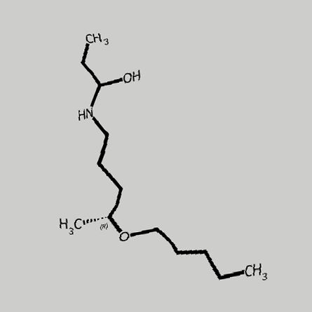 CCCCCO[C@H](C)CCCNC(O)CC